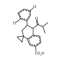 CN(C)C(=O)N1c2ccc(C(=O)O)cc2C2(CC2)CC1c1cc(Cl)ccc1Cl